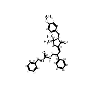 COc1ccc(CN2C(=O)/C(=C/C(CNC(=O)OCc3ccccc3)c3ccccc3)CC2(C)C)cc1